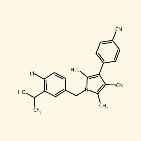 Cc1c(C#N)c(-c2ccc(C#N)cc2)c(C)n1Cc1ccc(Cl)c(C(O)C(F)(F)F)c1